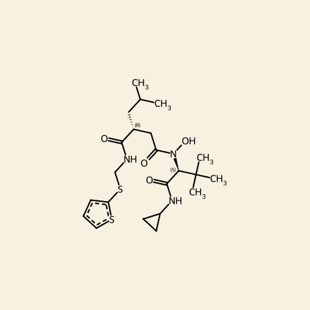 CC(C)C[C@H](CC(=O)N(O)[C@H](C(=O)NC1CC1)C(C)(C)C)C(=O)NCSc1cccs1